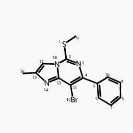 CSc1nc(-c2ccccc2)c(Br)c2nc(C)cn12